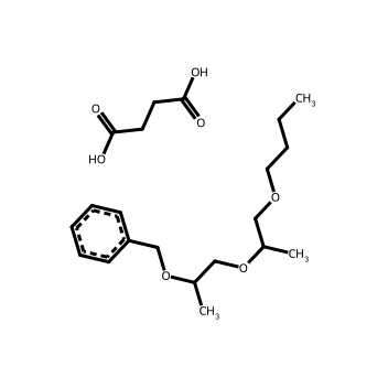 CCCCOCC(C)OCC(C)OCc1ccccc1.O=C(O)CCC(=O)O